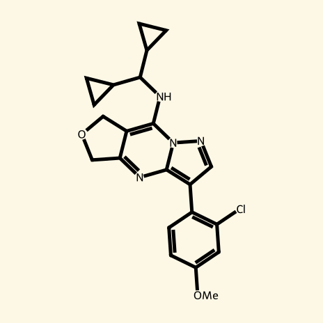 COc1ccc(-c2cnn3c(NC(C4CC4)C4CC4)c4c(nc23)COC4)c(Cl)c1